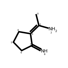 C/C(N)=C1\CCCC1=N